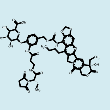 CCCCc1c2c(nc3cc4c(c(NC(=O)OCc5ccc(OC6OC(C(=O)O)C(O)[C@H](O)[C@@H]6O)c(NC(=O)CCNC(=O)[C@H](CN)N6C(=O)CCC6=O)c5)c13)OCO4)-c1cc3c(c(=O)n1C2)COC(=O)[C@]3(O)CC